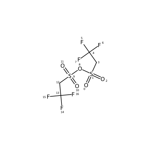 O=S(=O)(CC(F)(F)F)OS(=O)(=O)CC(F)(F)F